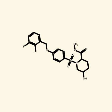 Cc1c(F)cccc1COc1ccc(S(=O)(=O)N2CC(O)CCC2C(=O)ON)cc1